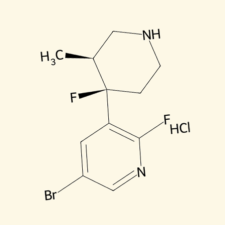 C[C@H]1CNCC[C@]1(F)c1cc(Br)cnc1F.Cl